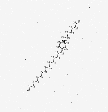 CCCCCCCCCCCCCCCCCc1cc[n+](CCCCCCCC)cc1